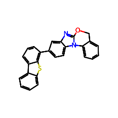 c1ccc2c(c1)COc1nc3cc(-c4cccc5c4sc4ccccc45)ccc3n1-2